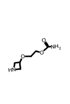 NC(=O)OCCOC1CNC1